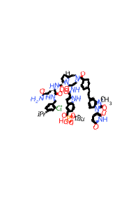 CC(C)c1ccc(CNC(=O)[C@H](CCC(N)=O)NC(=O)[C@@H]2CC[C@@H]3CCN(C(=O)C4CCC(CCc5ccc6c(c5)n(C)c(=O)n6C5CCC(=O)NC5=O)CC4)C[C@H](NC(=O)c4cc5cc(C(=O)P(=O)(O)OC(C)(C)C)ccc5[nH]4)C(=O)N32)c(Cl)c1